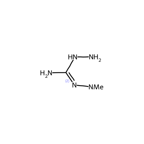 CN/N=C(/N)NN